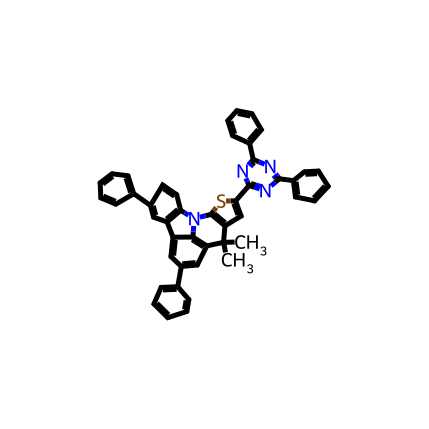 CC1(C)c2cc(-c3nc(-c4ccccc4)nc(-c4ccccc4)n3)sc2-n2c3ccc(-c4ccccc4)cc3c3cc(-c4ccccc4)cc1c32